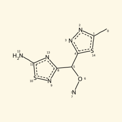 Cc1nnc(C(O[N])c2nsc(N)n2)s1